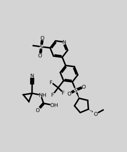 CO[C@@H]1CC[C@@H](S(=O)(=O)c2ccc(-c3cncc(S(C)(=O)=O)c3)cc2C(F)(F)F)C1.N#CC1(NC(=O)O)CC1